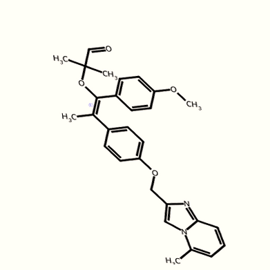 COc1ccc(/C(OC(C)(C)C=O)=C(/C)c2ccc(OCc3cn4c(C)cccc4n3)cc2)cc1